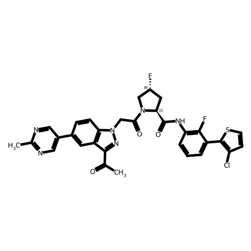 CC(=O)c1nn(CC(=O)N2C[C@H](F)C[C@H]2C(=O)Nc2cccc(-c3sccc3Cl)c2F)c2ccc(-c3cnc(C)nc3)cc12